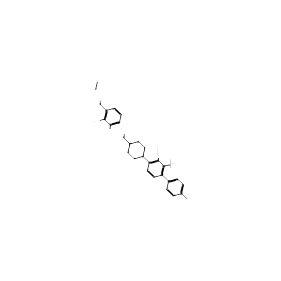 CCOCc1ccc(OCC2CCC(c3ccc(-c4ccc(C)cc4)c(F)c3F)CC2)c(F)c1F